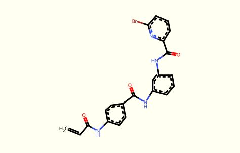 C=CC(=O)Nc1ccc(C(=O)Nc2cccc(NC(=O)c3cccc(Br)n3)c2)cc1